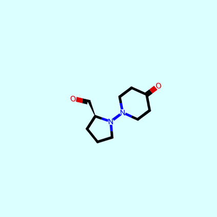 O=C[C@@H]1CCCN1N1CCC(=O)CC1